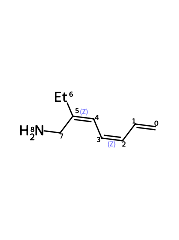 C=C/C=C\C=C(\CC)CN